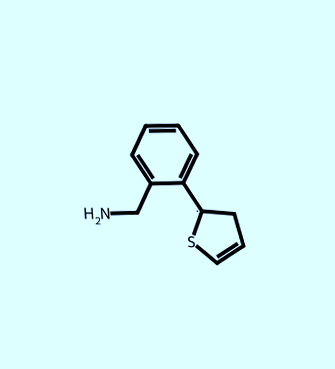 NCc1ccccc1[C]1CC=CS1